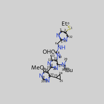 CCSc1cnc(CN/C(C=O)=N/c2c(C)nc(-c3c(OC)ncnc3C3CC3)nc2N(C)[C@H](C)CC)nc1